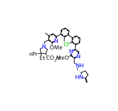 C=C1CC[C@@H](CNCc2ncc(-c3cccc(-c4cccc(-c5cc(C)c(CN6CC(C(=O)O)C(CC)(CCC)C6)c(OC)n5)c4C)c3Cl)nc2OC)N1